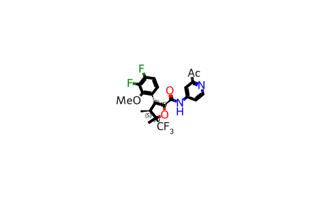 COc1c([C@@H]2[C@@H](C(=O)Nc3ccnc(C(C)=O)c3)O[C@@](C)(C(F)(F)F)[C@H]2C)ccc(F)c1F